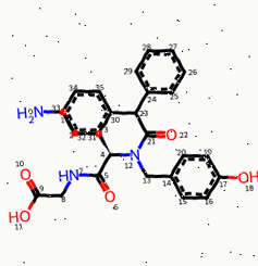 NCCC[C@H](C(=O)NCC(=O)O)N(Cc1ccc(O)cc1)C(=O)C(c1ccccc1)c1ccccc1